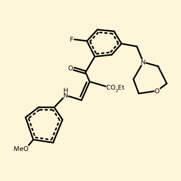 CCOC(=O)C(=CNc1ccc(OC)cc1)C(=O)c1cc(CN2CCOCC2)ccc1F